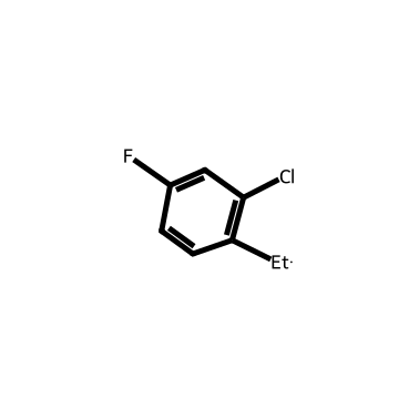 C[CH]c1ccc(F)cc1Cl